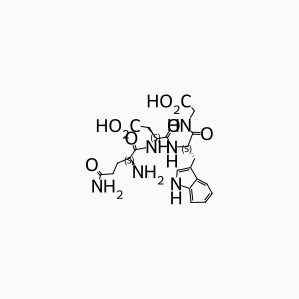 NC(=O)CC[C@H](N)C(=O)N[C@@H](CC(=O)O)C(=O)N[C@@H](Cc1c[nH]c2ccccc12)C(=O)NCC(=O)O